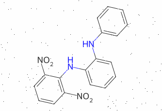 O=[N+]([O-])c1cccc([N+](=O)[O-])c1Nc1ccccc1Nc1ccccc1